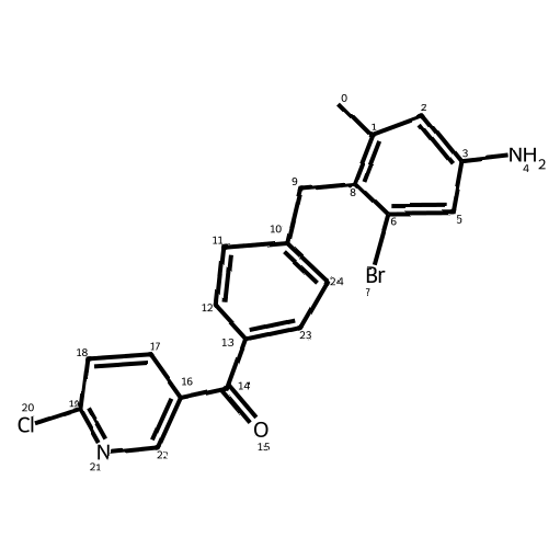 Cc1cc(N)cc(Br)c1Cc1ccc(C(=O)c2ccc(Cl)nc2)cc1